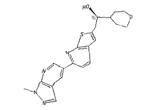 Cn1ncc2cc(-c3ccc4cc([C@@H](O)C5CCOCC5)sc4n3)cnc21